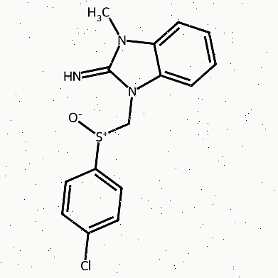 Cn1c(=N)n(C[S+]([O-])c2ccc(Cl)cc2)c2ccccc21